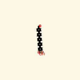 O=Cc1ccc(-c2ccc(-c3ccc(-c4ccc(-c5ccc(S(=O)(=O)O)cc5)cc4)cc3)cc2)cc1